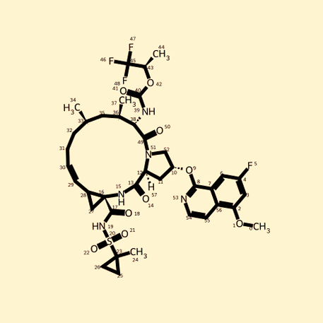 COc1cc(F)cc2c(O[C@@H]3C[C@H]4C(=O)N[C@]5(C(=O)NS(=O)(=O)C6(C)CC6)CC5/C=C\CC[C@@H](C)C[C@@H](C)[C@H](NC(=O)O[C@H](C)C(F)(F)F)C(=O)N4C3)nccc12